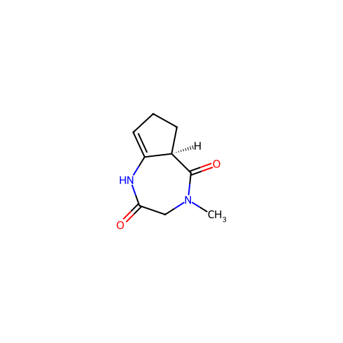 CN1CC(=O)NC2=CCC[C@H]2C1=O